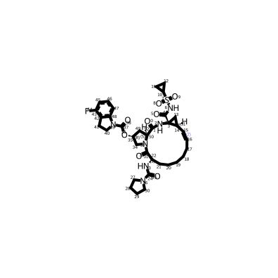 O=C1N[C@]2(C(=O)NS(=O)(=O)C3CC3)C[C@H]2/C=C\CCCCC[C@H](NC(=O)N2CCCC2)C(=O)N2C[C@H](OC(=O)N3CCc4c(F)cccc43)C[C@@H]12